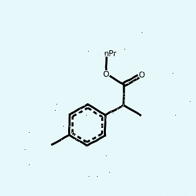 CCCOC(=O)C(C)c1ccc(C)cc1